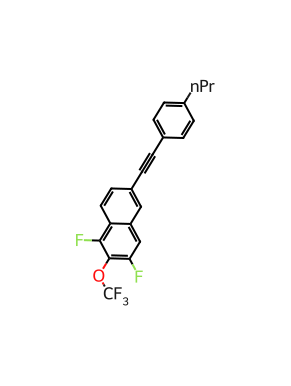 CCCc1ccc(C#Cc2ccc3c(F)c(OC(F)(F)F)c(F)cc3c2)cc1